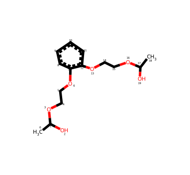 CC(O)OCCOc1ccccc1OCCOC(C)O